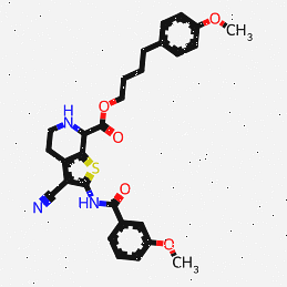 COc1ccc(CCCCOC(=O)C2NCCc3c2sc(NC(=O)c2cccc(OC)c2)c3C#N)cc1